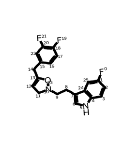 Fc1ccc2[nH]cc(CCN3CC=C(Cc4ccc(F)c(F)c4)O3)c2c1